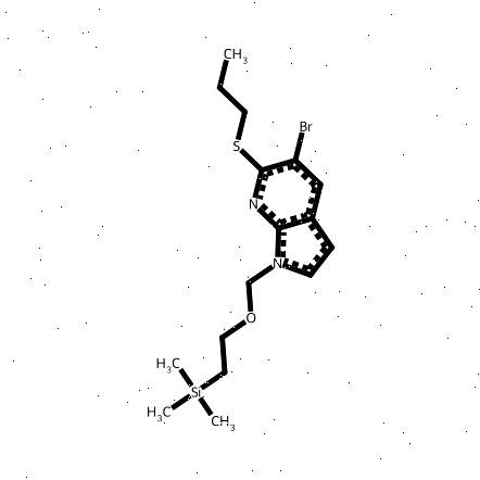 CCCSc1nc2c(ccn2COCC[Si](C)(C)C)cc1Br